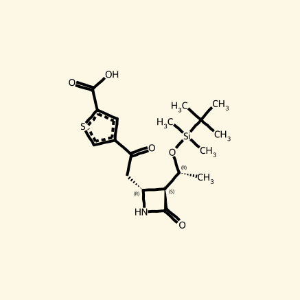 C[C@@H](O[Si](C)(C)C(C)(C)C)[C@H]1C(=O)N[C@@H]1CC(=O)c1csc(C(=O)O)c1